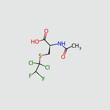 CC(=O)N[C@@H](CSC(Cl)(Cl)C(F)F)C(=O)O